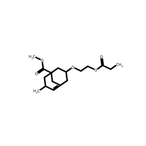 CCC(=O)OCCOC1CC2=CC(C)CC(C(=O)OC)(C2)C1